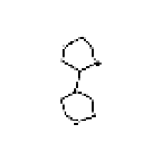 [C]1SCCNC1N1CCOCC1